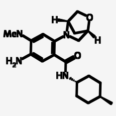 CNc1cc(N2C[C@@H]3C[C@H]2CO3)c(C(=O)N[C@H]2CC[C@H](C)CC2)cc1N